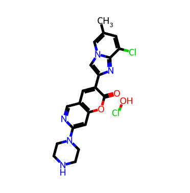 Cc1cc(Cl)c2nc(-c3cc4cnc(N5CCNCC5)cc4oc3=O)cn2c1.OCl